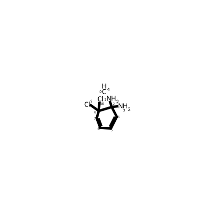 C.NC1(N)C=CC=CC1(Cl)Cl